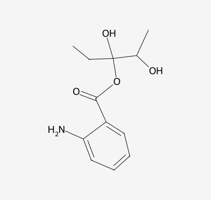 CCC(O)(OC(=O)c1ccccc1N)C(C)O